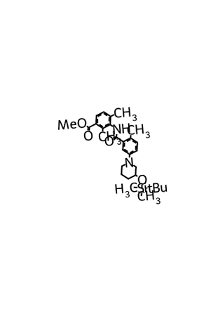 COC(=O)c1ccc(C)c(NC(=O)c2cc(N3CCCC(O[Si](C)(C)C(C)(C)C)C3)ccc2C)c1C